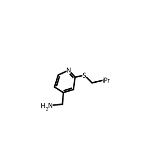 CC(C)CSc1cc(CN)ccn1